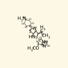 COc1cc(-c2[nH]c3sc(C4CCC(N)CC4)nc3c2C(C)C)cn2ncnc12